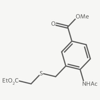 CCOC(=O)CSCc1cc(C(=O)OC)ccc1NC(C)=O